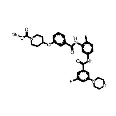 Cc1ccc(NC(=O)c2cc(F)cc(N3CCOCC3)c2)cc1NC(=O)c1cccc(OC2CCN(C(=O)OC(C)(C)C)CC2)c1